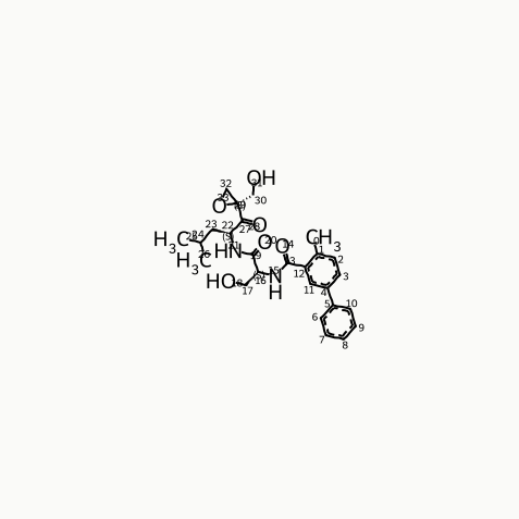 Cc1ccc(-c2ccccc2)cc1C(=O)N[C@@H](CO)C(=O)N[C@@H](CC(C)C)C(=O)[C@]1(CO)CO1